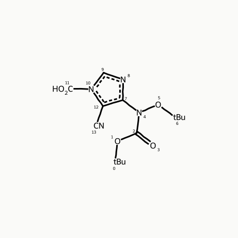 CC(C)(C)OC(=O)N(OC(C)(C)C)c1ncn(C(=O)O)c1C#N